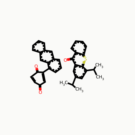 CC(C)c1cc(C(C)C)c2sc3ccccc3c(=O)c2c1.O=C1C=CC(=O)C(c2cccc3cc4ccccc4cc23)=C1